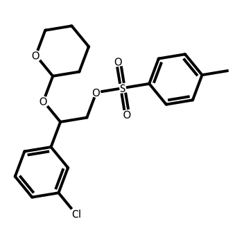 Cc1ccc(S(=O)(=O)OCC(OC2CCCCO2)c2cccc(Cl)c2)cc1